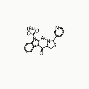 CC(=O)N1C(C(=O)c2cn(C(=O)OC(C)(C)C)c3ccccc23)CSC1c1cccnc1